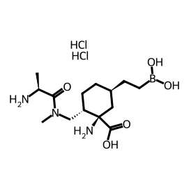 C[C@H](N)C(=O)N(C)C[C@@H]1CC[C@@H](CCB(O)O)C[C@]1(N)C(=O)O.Cl.Cl